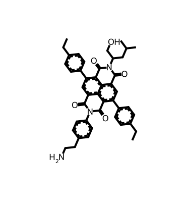 CCc1ccc(-c2cc3c4c(c(-c5ccc(CC)cc5)cc5c4c2C(=O)N(c2ccc(CCN)cc2)C5=O)C(=O)N(C(CO)CC(C)C)C3=O)cc1